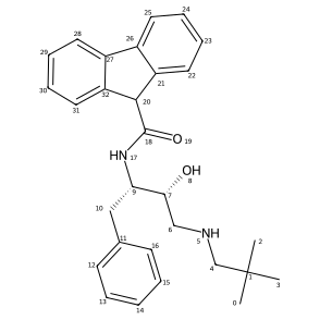 CC(C)(C)CNC[C@@H](O)[C@H](Cc1ccccc1)NC(=O)C1c2ccccc2-c2ccccc21